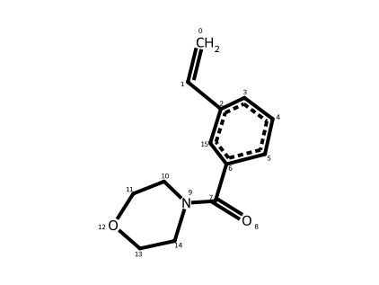 C=Cc1cccc(C(=O)N2CCOCC2)c1